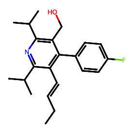 CC/C=C/c1c(C(C)C)nc(C(C)C)c(CO)c1-c1ccc(F)cc1